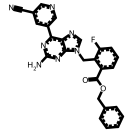 N#Cc1cncc(-c2nc(N)nc3c2ncn3Cc2c(F)cccc2C(=O)OCc2ccccc2)c1